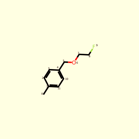 Cc1ccc(COCCF)cc1